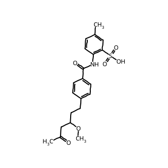 COC(CCc1ccc(C(=O)Nc2ccc(C)cc2S(=O)(=O)O)cc1)CC(C)=O